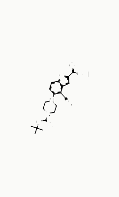 CC(C)(C)OC(=O)N1CCN(c2ccc3oc(C(=O)O)cc3c2C#N)CC1